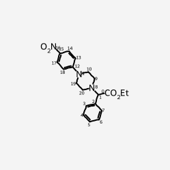 CCOC(=O)C(c1ccccc1)N1CCN(c2ccc([N+](=O)[O-])cc2)CC1